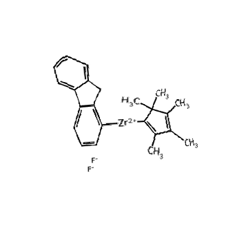 CC1=C(C)C(C)(C)[C]([Zr+2][c]2cccc3c2Cc2ccccc2-3)=C1C.[F-].[F-]